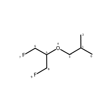 CC(C)[CH]OC(CF)CF